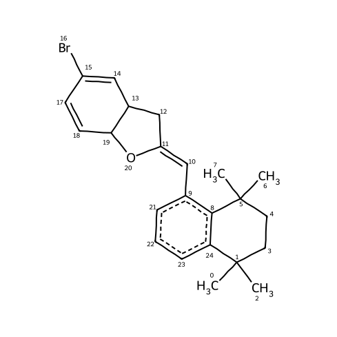 CC1(C)CCC(C)(C)c2c(C=C3CC4C=C(Br)C=CC4O3)cccc21